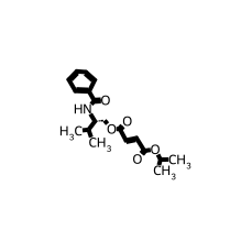 CC(C)OC(=O)/C=C/C(=O)OC[C@@H](NC(=O)c1ccccc1)C(C)C